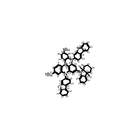 CC(C)(C)c1ccc2c(c1)N(c1ccc3c(c1)oc1ccccc13)c1cc(N3c4ccccc4C4(C)CCCCC34C)cc3c1B2c1ccc(C(C)(C)C)cc1N3c1ccc2c(c1)sc1ccccc12